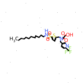 CCCCCCCCCCCCNS(=O)(=O)c1ccc(CN(Cc2ccc(C(F)(F)F)nc2)C(=O)C(=O)O)s1